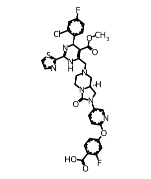 COC(=O)C1=C(CN2CCN3C(=O)N(c4ccc(Oc5ccc(C(=O)O)c(F)c5)nc4)C[C@@H]3C2)NC(c2nccs2)=N[C@H]1c1ccc(F)cc1Cl